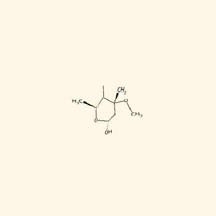 CO[C@]1(C)C[C@H](O)O[C@@H](C)C1I